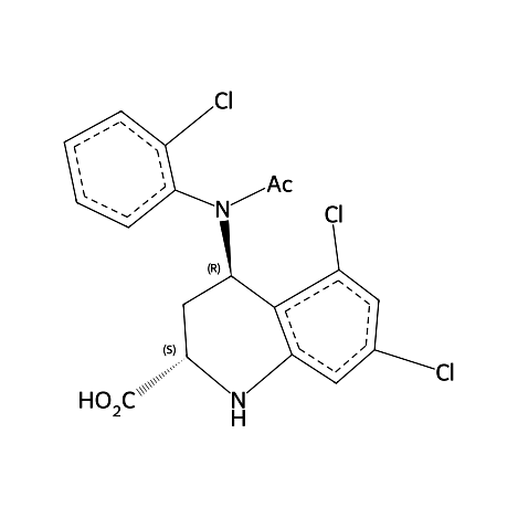 CC(=O)N(c1ccccc1Cl)[C@@H]1C[C@@H](C(=O)O)Nc2cc(Cl)cc(Cl)c21